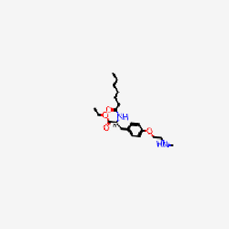 CCCCCCC(=O)N[C@@H](Cc1ccc(OCCNC)cc1)C(=O)OCC